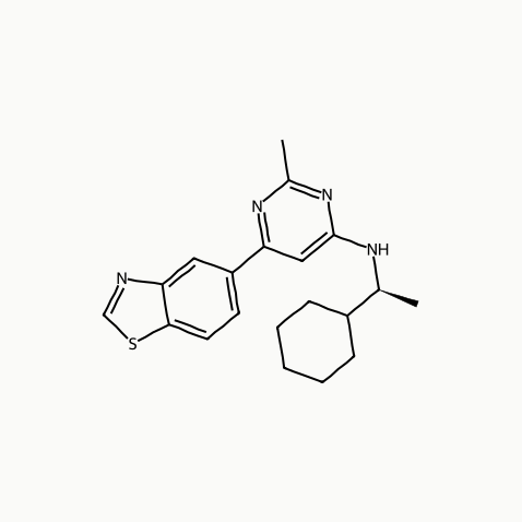 Cc1nc(N[C@@H](C)C2CCCCC2)cc(-c2ccc3scnc3c2)n1